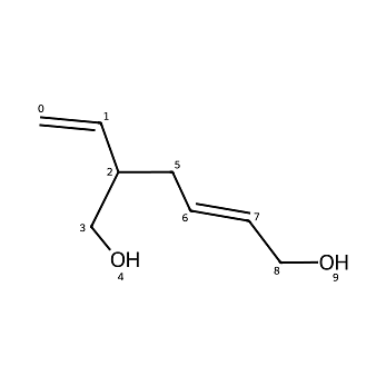 C=CC(CO)CC=CCO